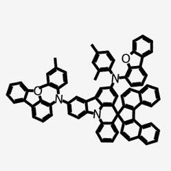 Cc1ccc(N(c2ccc3c(c2)c2cc(N(c4ccc(C)cc4C)c4cccc5c4oc4ccccc45)cc4c2n3-c2ccccc2C42c3ccc4ccccc4c3-c3c2ccc2ccccc32)c2cccc3c2oc2ccccc23)c(C)c1